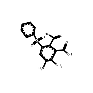 Nc1cc(S(=O)(=O)c2ccccc2)c(C(=O)O)c(C(=O)O)c1N